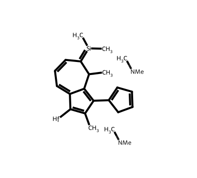 CC1=[C]([Hf])C2=CC=CC(=[Si](C)C)C(C)C2=C1C1=CC=CC1.CNC.CNC